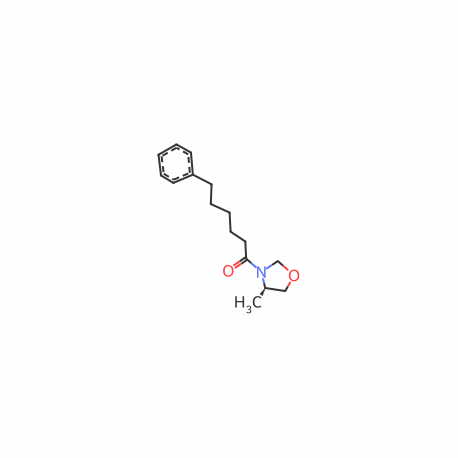 C[C@@H]1COCN1C(=O)CCCCCc1ccccc1